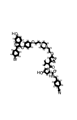 CC(C)C(C(=O)N1C[C@H](O)C[C@H]1C(=O)NCc1ccc(C#N)cc1)c1cc(OCCN2CCN(CCOc3ccc(Oc4c(-c5ccc(Br)cc5)sc5cc(O)ccc45)cc3)CC2)no1